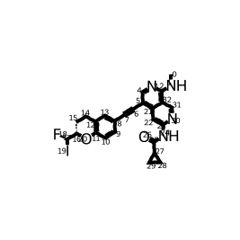 CNc1ncc(C#Cc2ccc3c(c2)CC[C@@H]([C@H](F)I)O3)c2cc(NC(=O)C3CC3)ncc12